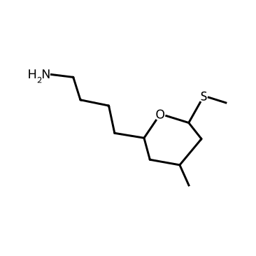 CSC1CC(C)CC(CCCCN)O1